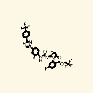 O=C(/N=C1\SCC(=O)N1c1cc(F)ccc1COCC(F)(F)F)Nc1ccc(-n2cnc(-c3ccc(C(F)(F)F)cc3)n2)cc1F